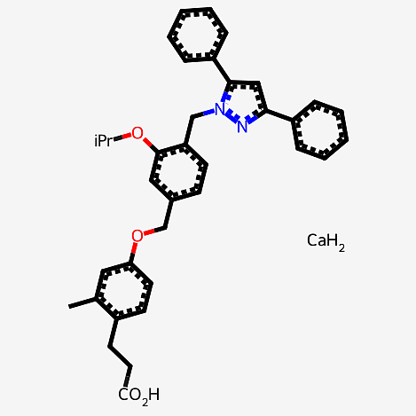 Cc1cc(OCc2ccc(Cn3nc(-c4ccccc4)cc3-c3ccccc3)c(OC(C)C)c2)ccc1CCC(=O)O.[CaH2]